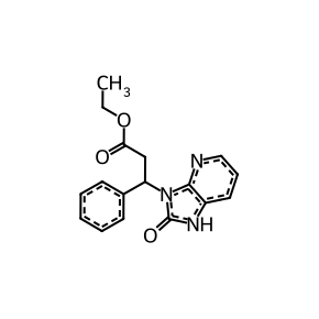 CCOC(=O)CC(c1ccccc1)n1c(=O)[nH]c2cccnc21